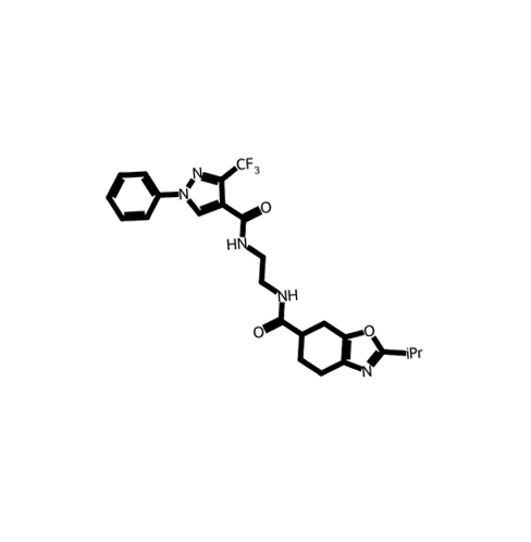 CC(C)c1nc2c(o1)CC(C(=O)NCCNC(=O)c1cn(-c3ccccc3)nc1C(F)(F)F)CC2